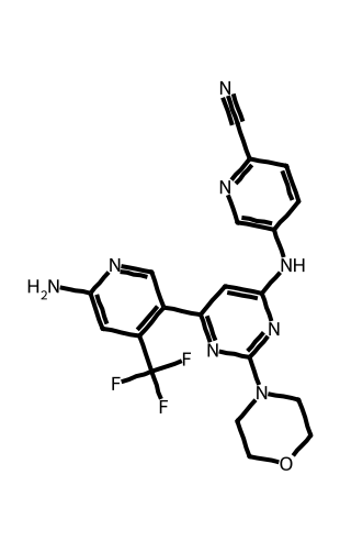 N#Cc1ccc(Nc2cc(-c3cnc(N)cc3C(F)(F)F)nc(N3CCOCC3)n2)cn1